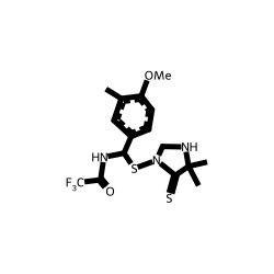 COc1ccc(C(NC(=O)C(F)(F)F)SN2CNC(C)(C)C2=S)cc1C